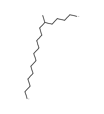 [CH2]CCCCCCCCCCCC(C)CCCC[CH2]